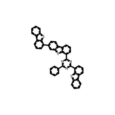 c1ccc(-c2nc(-c3cccc4c3sc3ccccc34)nc(-c3cccc4c3sc3cc(-c5cccc6c5sc5ccccc56)ccc34)n2)cc1